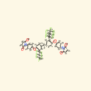 CC(C)(c1ccc(Oc2ccc(N3C(=O)C=CC3=O)cc2)c(C(F)(F)C(F)(F)C(F)(F)F)c1)c1ccc(Oc2ccc(N3C(=O)C=CC3=O)cc2)c(C(F)(F)C(F)(F)C(F)(F)F)c1